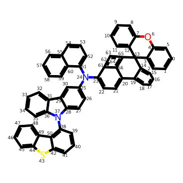 c1ccc2c(c1)Oc1ccccc1C21c2ccccc2-c2ccc(N(c3ccc4c(c3)c3ccccc3n4-c3cccc4sc5ccccc5c34)c3cccc4ccccc34)c3cccc1c23